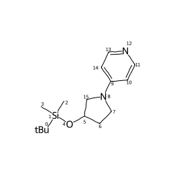 CC(C)(C)[Si](C)(C)OC1CCN(c2ccncc2)C1